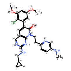 CNc1ccc(CCn2c(=O)c(-c3cc(OC)cc(OC)c3Cl)cc3cnc(NCC4CC4)nc32)nc1